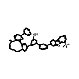 C=C1/C=C\C=C/Cc2ccc(-c3cc(-c4cccc(-c5ccc6c(c5)sc5c([Si](C)(C)C)cccc56)c4)cc(C(C)(C)C)c3)cc2-c2cc(-c3ccccc3)ccc21